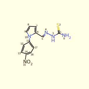 NC(=S)NN=Cc1cccn1-c1ccc([N+](=O)[O-])cc1